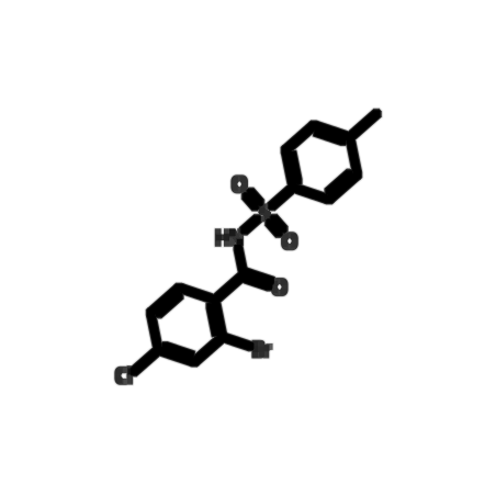 Cc1ccc(S(=O)(=O)NC(=O)c2ccc(Cl)cc2Br)cc1